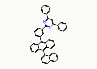 c1ccc(-c2cc(-c3ccccc3)nc(-c3cccc(-c4c5ccccc5c(-c5cccc6ccccc56)c5ccccc45)c3)n2)cc1